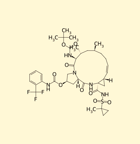 C[C@H]1CC/C=C\[C@@H]2C[C@@]2(C(=O)NS(=O)(=O)C2(C)CC2)NC(=O)[C@@H]2C[C@@H](OC(=O)Nc3ccccc3C(F)(F)F)CN2C(=O)[C@@H](NC(=O)OC(C)(C)C)[C@H](C)C1